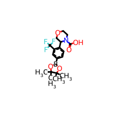 CC1(C)OB(c2ccc(C3COCCN3C(=O)O)c(C(F)(F)F)c2)OC1(C)C